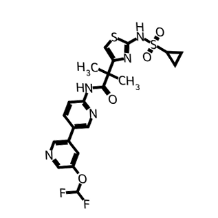 CC(C)(C(=O)Nc1ccc(-c2cncc(OC(F)F)c2)cn1)c1csc(NS(=O)(=O)C2CC2)n1